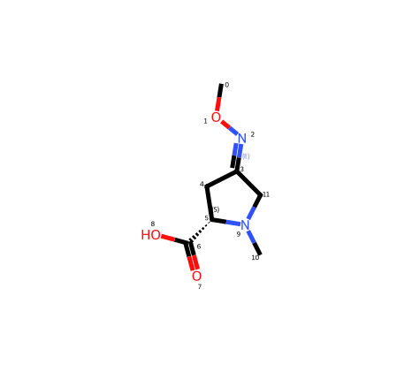 CO/N=C1\C[C@@H](C(=O)O)N(C)C1